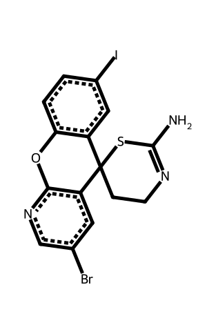 NC1=NCCC2(S1)c1cc(I)ccc1Oc1ncc(Br)cc12